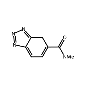 CNC(=O)C1=CC=C2N=NN=C2C1